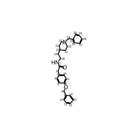 O=C(Cc1ccc(OCc2ccccc2)cc1)NCCC1CCN(Cc2ccccc2)CC1